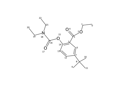 CCOC(=O)c1cc(C(C)(C)C)ccc1OC(=O)N(CC)CC